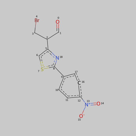 O=CC(CBr)c1csc(-c2ccc([N+](=O)[O-])cc2)n1